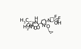 CC(C)C[C@H](NC(=O)c1ccc(N2CCC(O)(C(F)(F)F)C2)c(OCC2CC2)n1)C(N)=O